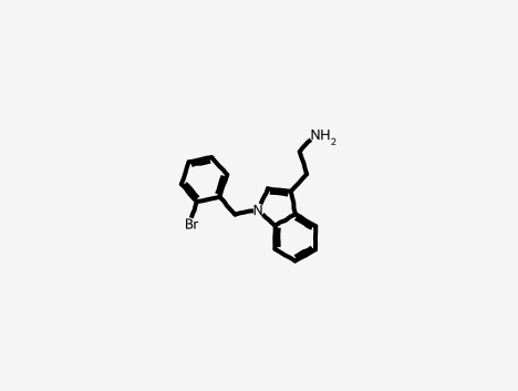 NCCc1cn(Cc2ccccc2Br)c2ccccc12